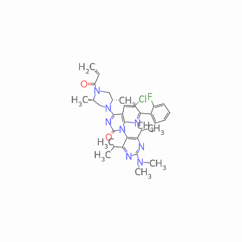 C=CC(=O)N1C[C@H](C)N(c2nc(=O)n(-c3c(C(C)C)nc(N(C)C)nc3C(C)C)c3nc(-c4ccccc4F)c(Cl)cc23)C[C@H]1C